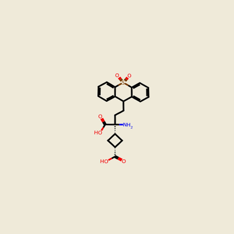 NC(CCC1c2ccccc2S(=O)(=O)c2ccccc21)(C(=O)O)[C@H]1C[C@@H](C(=O)O)C1